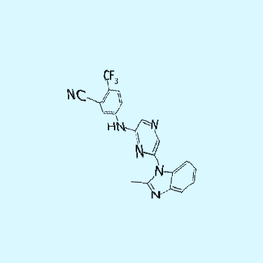 Cc1nc2ccccc2n1-c1cncc(Nc2ccc(C(F)(F)F)c(C#N)c2)n1